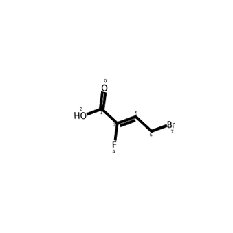 O=C(O)/C(F)=C/CBr